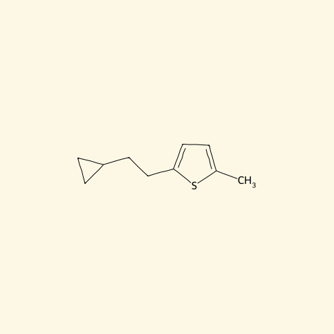 Cc1ccc(CCC2CC2)s1